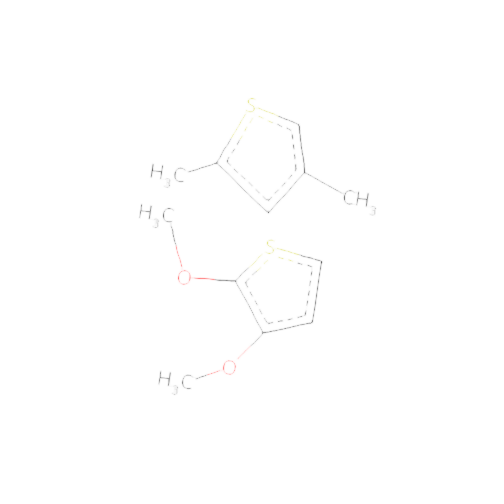 COc1ccsc1OC.Cc1csc(C)c1